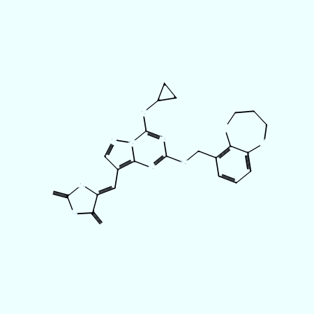 O=C1NC(=O)/C(=C/c2cnn3c(NC4CC4)nc(NCc4cccc5c4OCCCO5)nc23)N1